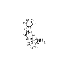 NCC1(N2CCN(Cc3ccccc3)CC2)CCCCC1